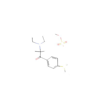 CCN(CC)C(C)(C)C(=O)c1ccc([S+](C)C)cc1.COS(=O)(=O)[O-]